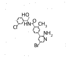 Cc1cc(-c2cc(Br)cnc2N)ccc1C(=O)NC(CO)c1cccc(Cl)c1